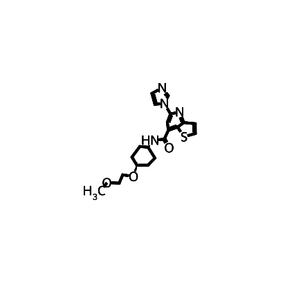 COCCO[C@H]1CC[C@H](NC(=O)c2cc(-n3ccnc3)nc3ccsc23)CC1